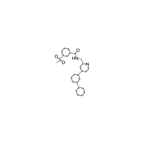 CS(=O)(=O)c1cccc(C(=O)NCc2cc(-c3cccc(-c4ccccc4)c3)ccn2)c1